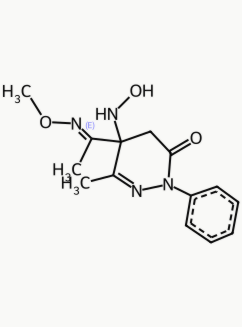 CO/N=C(\C)C1(NO)CC(=O)N(c2ccccc2)N=C1C